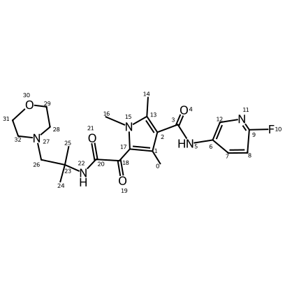 Cc1c(C(=O)Nc2ccc(F)nc2)c(C)n(C)c1C(=O)C(=O)NC(C)(C)CN1CCOCC1